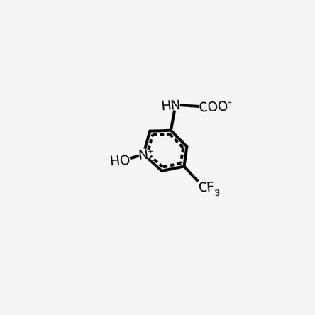 O=C([O-])Nc1cc(C(F)(F)F)c[n+](O)c1